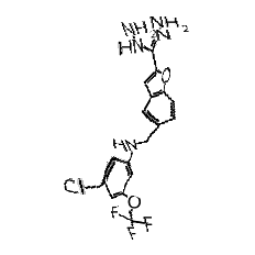 N/N=C(\NN)c1cc2cc(CNc3cc(Cl)cc(OC(F)(F)F)c3)ccc2o1